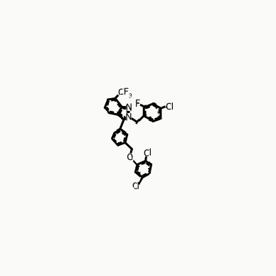 Fc1cc(Cl)ccc1Cn1nc2c(C(F)(F)F)cccc2c1-c1cccc(COc2cc(Cl)ccc2Cl)c1